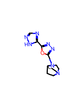 c1n[nH]c(-c2nnc(N3CCN4CCC3CC4)o2)n1